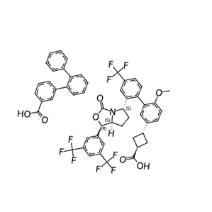 COc1ccc([C@H]2C[C@H](C(=O)O)C2)cc1-c1ccc(C(F)(F)F)cc1[C@@H]1CC[C@H]2[C@@H](c3cc(C(F)(F)F)cc(C(F)(F)F)c3)OC(=O)N12.O=C(O)c1cccc(-c2ccccc2-c2ccccc2)c1